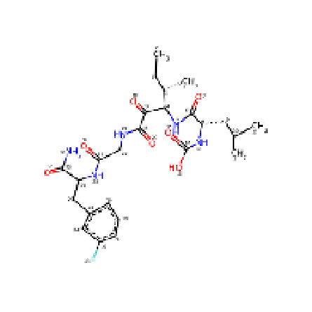 CC[C@H](C)C(NC(=O)[C@H](CC(C)C)NC(=O)O)C(=O)C(=O)NCC(=O)NC(Cc1cccc(F)c1)C(N)=O